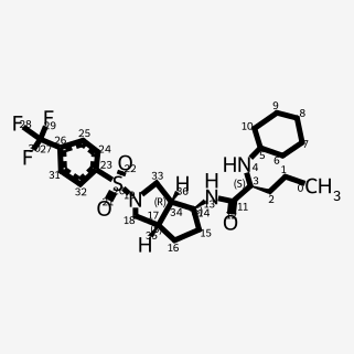 CCC[C@H](NC1CCCCC1)C(=O)N[C@H]1CC[C@@H]2CN(S(=O)(=O)c3ccc(C(F)(F)F)cc3)C[C@@H]21